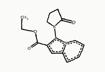 CCOC(=O)c1cc2ccccn2c1N1CCCC1=O